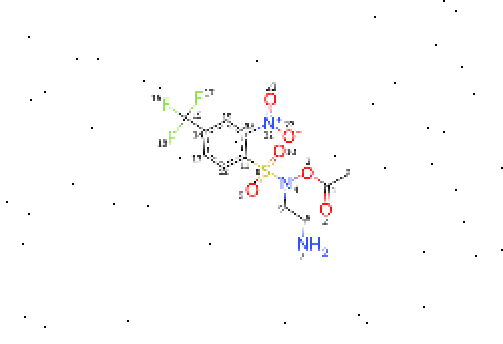 CC(=O)ON(CCN)S(=O)(=O)c1ccc(C(F)(F)F)cc1[N+](=O)[O-]